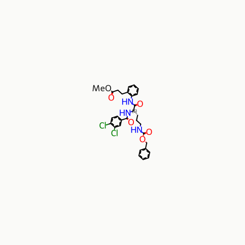 COC(=O)CCc1ccccc1NC(=O)[C@H](CCCNC(=O)OCc1ccccc1)NC(=O)c1ccc(Cl)c(Cl)c1